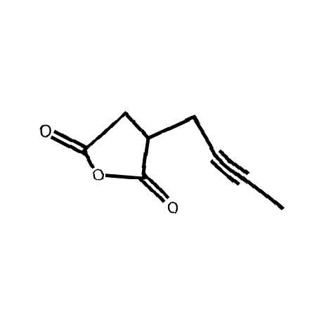 CC#CCC1CC(=O)OC1=O